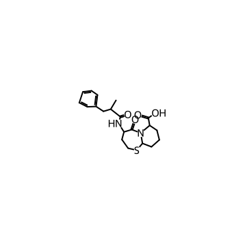 CC(Cc1ccccc1)C(=O)NC1CCSC2CCCC(C(=O)O)N2C1=O